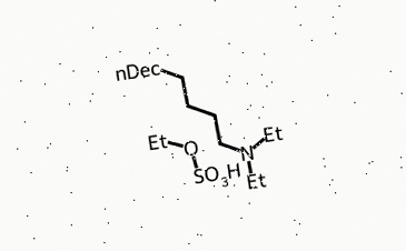 CCCCCCCCCCCCCCN(CC)CC.CCOS(=O)(=O)O